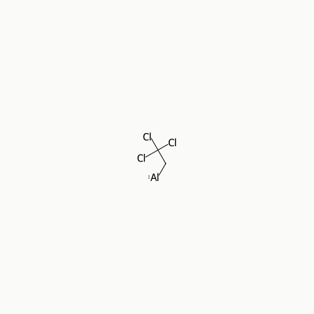 [Al][CH2]C(Cl)(Cl)Cl